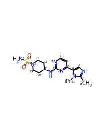 Cc1ncc(-c2ccnc(NC3CCN(S(N)(=O)=O)CC3)n2)n1C(C)C